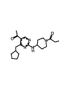 CCC(=O)N1CCC(Nc2ncc(C(C)=O)c(CC3CCCC3)n2)CC1